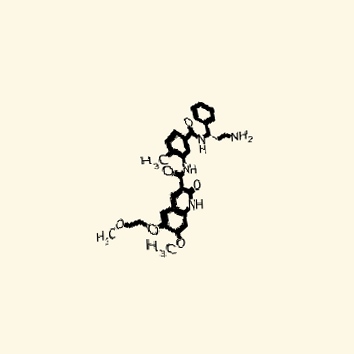 COCCOc1cc2cc(C(=O)Nc3cc(C(=O)N[C@@H](CCN)c4ccccc4)ccc3C)c(=O)[nH]c2cc1OC